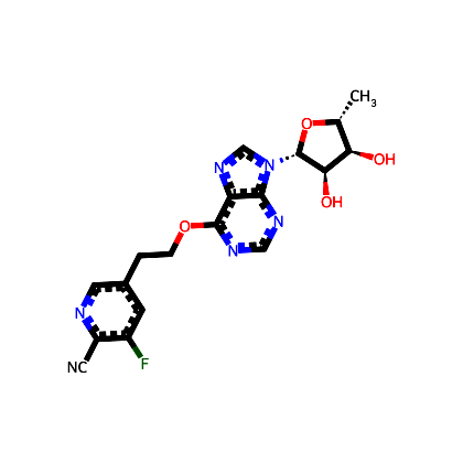 C[C@H]1O[C@@H](n2cnc3c(OCCc4cnc(C#N)c(F)c4)ncnc32)[C@H](O)[C@@H]1O